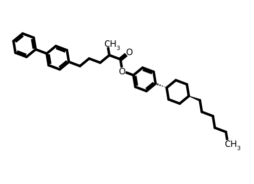 CCCCCC[C@H]1CC[C@H](c2ccc(OC(=O)C(C)CCCc3ccc(-c4ccccc4)cc3)cc2)CC1